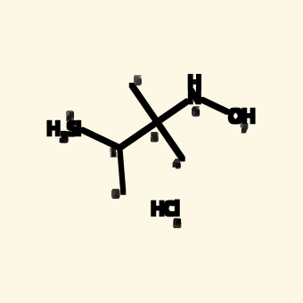 CC([SiH3])C(C)(C)NO.Cl